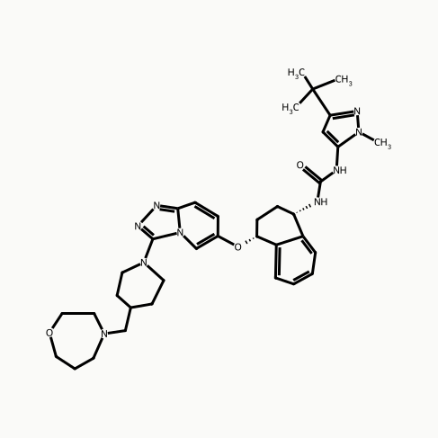 Cn1nc(C(C)(C)C)cc1NC(=O)N[C@H]1CC[C@@H](Oc2ccc3nnc(N4CCC(CN5CCCOCC5)CC4)n3c2)c2ccccc21